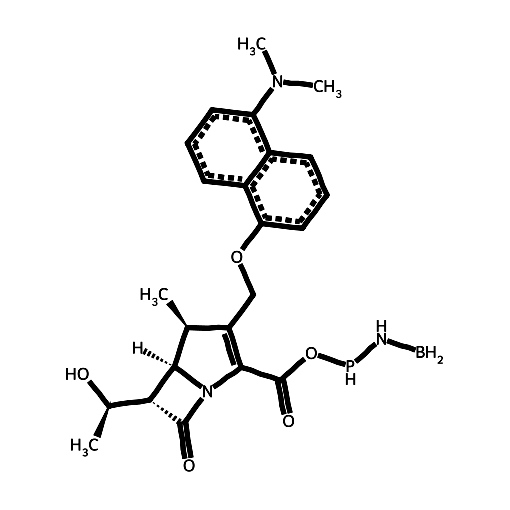 BNPOC(=O)C1=C(COc2cccc3c(N(C)C)cccc23)[C@H](C)[C@@H]2[C@@H]([C@@H](C)O)C(=O)N12